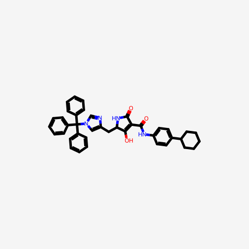 O=C(Nc1ccc(C2CCCCC2)cc1)C1=C(O)C(Cc2cn(C(c3ccccc3)(c3ccccc3)c3ccccc3)cn2)NC1=O